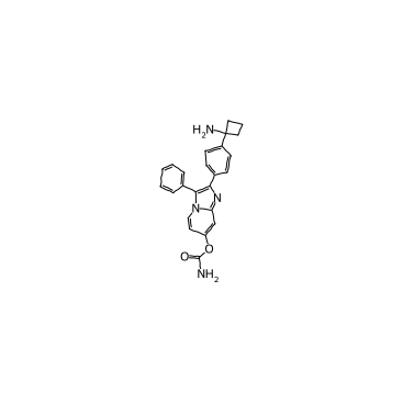 NC(=O)Oc1ccn2c(-c3ccccc3)c(-c3ccc(C4(N)CCC4)cc3)nc2c1